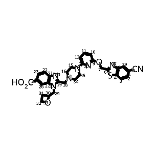 N#Cc1ccc2sc(COc3cccc(N4CCN(Cc5nc6ccc(C(=O)O)cc6n5CC5CCO5)CC4)n3)nc2c1